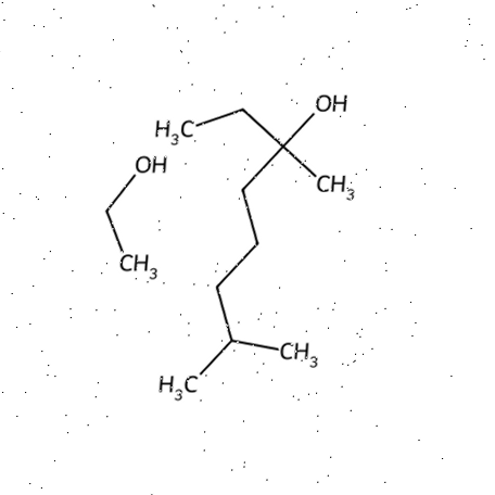 CCC(C)(O)CCCC(C)C.CCO